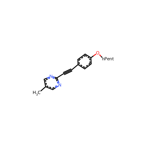 CCCCCOc1ccc(C#Cc2ncc(C)cn2)cc1